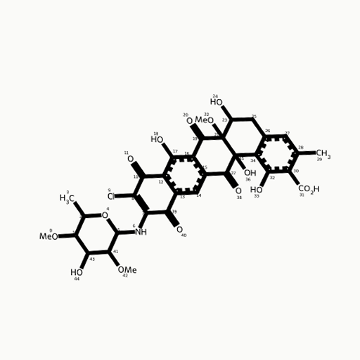 COC1C(C)OC(NC2=C(Cl)C(=O)c3c(cc4c(c3O)C(=O)C3(OC)C(O)Cc5cc(C)c(C(=O)O)c(O)c5C3(O)C4=O)C2=O)C(OC)C1O